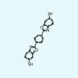 Sc1ccc2nc(-c3ccc(-c4nc5ccc(S)cc5o4)cc3)oc2c1